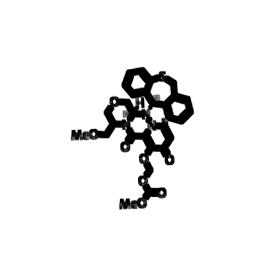 COCC1COC[C@@H]2N1C(=O)c1c(OCOC(=O)OC)c(=O)ccn1N2[C@@H]1c2ccccc2SCc2cccc(F)c21